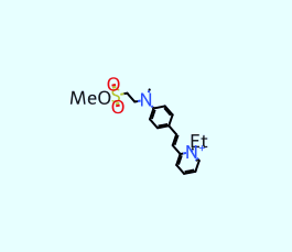 CC[n+]1ccccc1/C=C/c1ccc(N(C)CCS(=O)(=O)OC)cc1